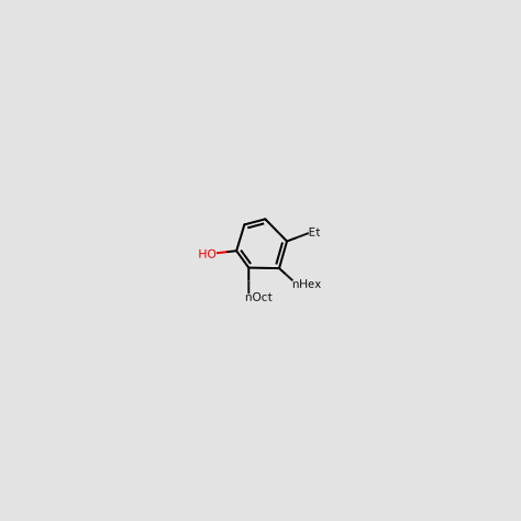 CCCCCCCCc1c(O)ccc(CC)c1CCCCCC